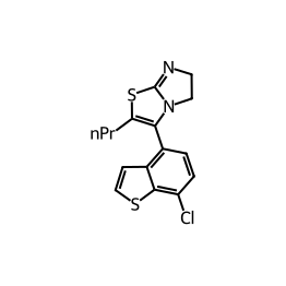 CCCC1=C(c2ccc(Cl)c3sccc23)N2CCN=C2S1